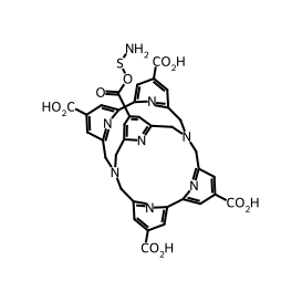 NSOC(=O)c1cc2nc(c1)CN1Cc3cc(C(=O)O)cc(n3)-c3cc(C(=O)O)cc(n3)CN(C2)Cc2cc(C(=O)O)cc(n2)-c2cc(C(=O)O)cc(n2)C1